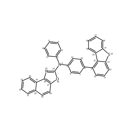 c1ccc(N(c2ccc(-c3cccc4sc5ccccc5c34)cc2)c2nc3c(ccc4ccccc43)o2)cc1